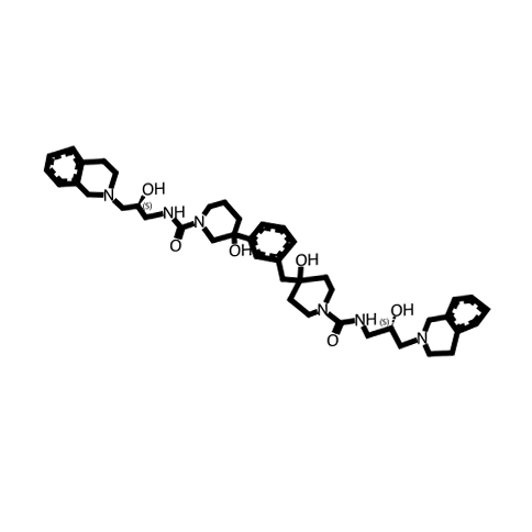 O=C(NC[C@H](O)CN1CCc2ccccc2C1)N1CCC(O)(Cc2cccc(C3(O)CCCN(C(=O)NC[C@H](O)CN4CCc5ccccc5C4)C3)c2)CC1